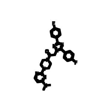 CN(C)c1ccnc(N2CCN(C(=O)Cn3nc(-c4ccc(F)cc4)nc3-c3ccc(F)cc3)CC2)n1